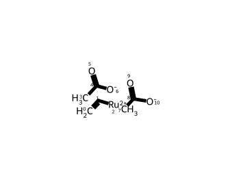 C=[CH][Ru+2].CC(=O)[O-].CC(=O)[O-]